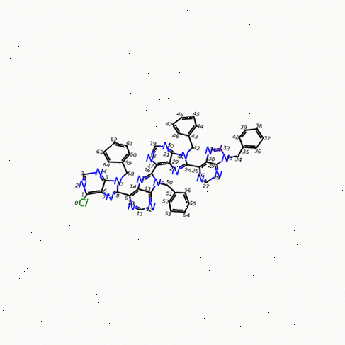 Clc1ncnc2c1nc(-c1ncnc3c1nc(-c1ncnc4c1nc(-c1ncnc5c1N=IN5Cc1ccccc1)n4Cc1ccccc1)n3Cc1ccccc1)n2Cc1ccccc1